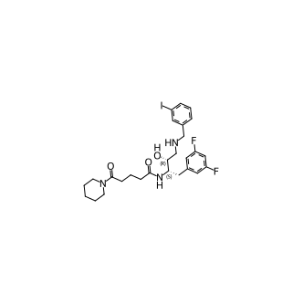 O=C(CCCC(=O)N1CCCCC1)N[C@@H](Cc1cc(F)cc(F)c1)[C@H](O)CNCc1cccc(I)c1